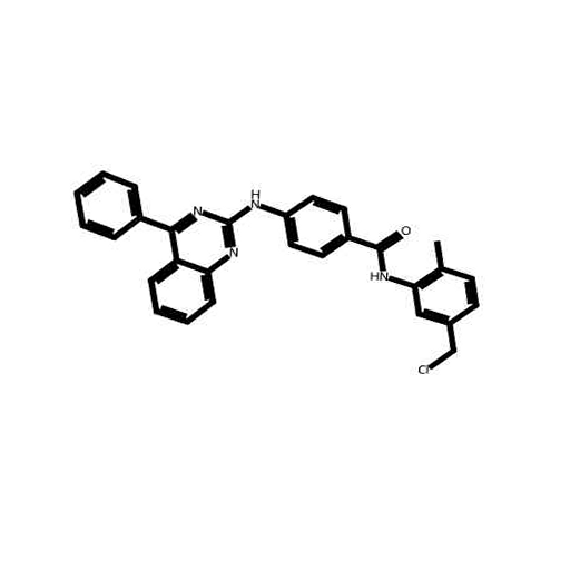 Cc1ccc(CCl)cc1NC(=O)c1ccc(Nc2nc(-c3ccccc3)c3ccccc3n2)cc1